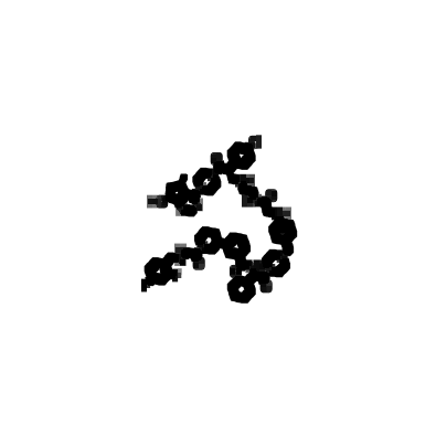 C[C@@H]1C[C@@H](O)c2ncnc(N3CCN(C(=O)[C@H](CNCCNC(=O)CNC45CCC(CN6CCN(C(=O)[C@H](NC(=O)c7cccc(C8CCCN(C(=O)CNCc9ccc(F)cc9F)C8)c7)C7CCCCC7)CC6)(CC4)OC5)c4ccc(Cl)cc4)CC3)c21